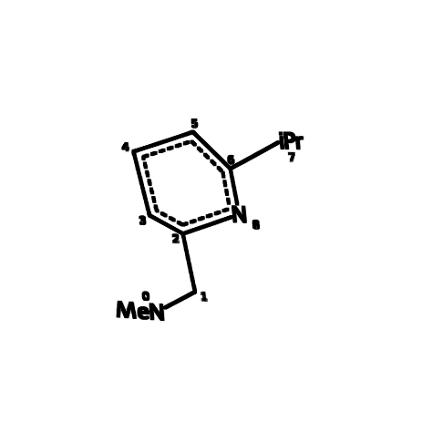 CNCc1cccc(C(C)C)n1